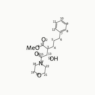 COC(=O)C(CCCc1ccccc1)[C@H](O)C(=O)N1CCOCC1